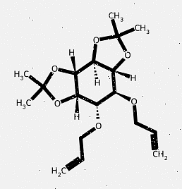 C=CCO[C@H]1[C@H](OCC=C)[C@@H]2OC(C)(C)O[C@@H]2[C@H]2OC(C)(C)O[C@H]12